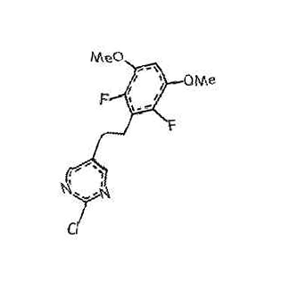 COc1cc(OC)c(F)c(CCc2cnc(Cl)nc2)c1F